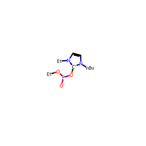 CCCCn1ccn(CC)[c+]1OP([O-])OCC